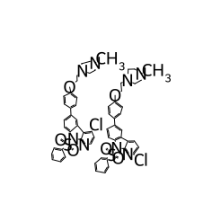 CN1CCN(CCOc2ccc(-c3ccc4c(c3)c3c(Cl)ccnc3n4S(=O)(=O)c3ccccc3)cc2)CC1.CN1CCN(CCOc2ccc(-c3ccc4c(c3)c3ccc(Cl)nc3n4S(=O)(=O)c3ccccc3)cc2)CC1